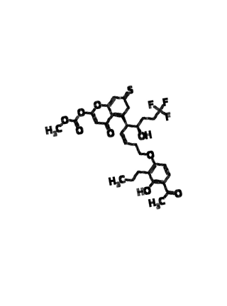 CCCc1c(OCC/C=C\[C@@H](C2=c3c(=O)cc(OC(=O)OC)oc3=CC(=S)C2)[C@H](O)CCC(F)(F)F)ccc(C(C)=O)c1O